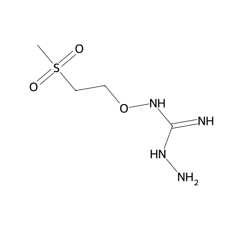 CS(=O)(=O)CCONC(=N)NN